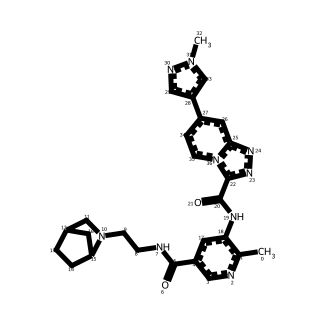 Cc1ncc(C(=O)NCCN2CC3CCC2C3)cc1NC(=O)c1nnc2cc(-c3cnn(C)c3)ccn12